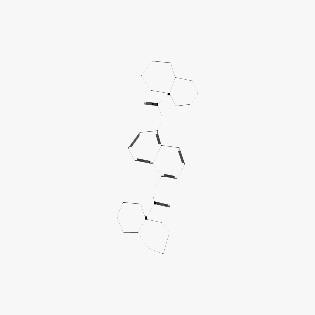 O=C(Oc1cccc2c(OC(=O)C34CCCCC3CCCC4)cccc12)C12CCCCC1CCCC2